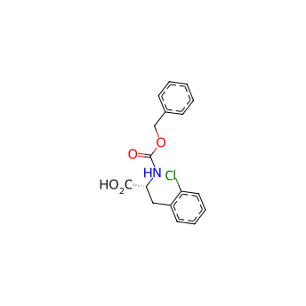 O=C(N[C@H](Cc1ccccc1Cl)C(=O)O)OCc1ccccc1